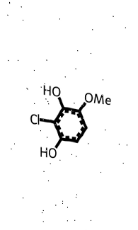 COc1ccc(O)c(Cl)c1O